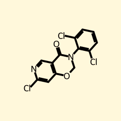 O=C1c2cnc(Cl)cc2OCN1c1c(Cl)cccc1Cl